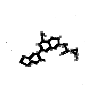 Cc1cc2[nH]cnc2cc1-c1cc2cc(NC(=O)[C@@H]3C[C@@H]3F)ncc2c(N)n1